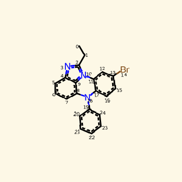 CCc1nc2cccc3c2n1-c1cc(Br)ccc1N3c1ccccc1